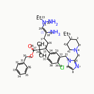 CCC1CCN(Cc2nccn2Cc2cc(C(CC/C(N)=C/N(N)CC)C(C)(C)C(=O)OCc3ccccc3)ccc2Cl)CC1